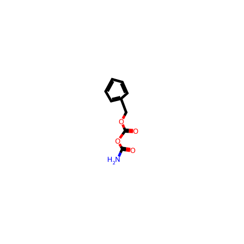 NC(=O)OC(=O)OCc1ccccc1